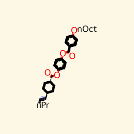 CCC/C=C/[C@H]1CC[C@H](C(=O)Oc2ccc(OC(=O)c3ccc(OCCCCCCCC)cc3)cc2)CC1